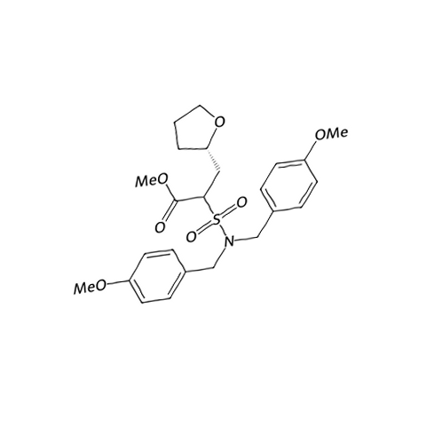 COC(=O)C(C[C@@H]1CCCO1)S(=O)(=O)N(Cc1ccc(OC)cc1)Cc1ccc(OC)cc1